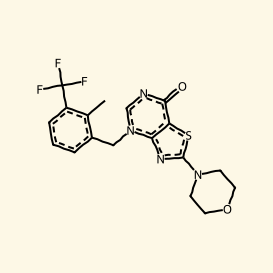 Cc1c(Cn2cnc(=O)c3sc(N4CCOCC4)nc32)cccc1C(F)(F)F